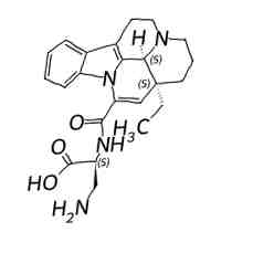 CC[C@@]12C=C(C(=O)N[C@@H](CN)C(=O)O)n3c4c(c5ccccc53)CCN(CCC1)[C@H]42